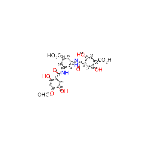 O=COc1cc(O)c(C(=O)Nc2cc(NC(=O)c3cc(O)c(C(=O)O)cc3O)cc(C(=O)O)c2)cc1O